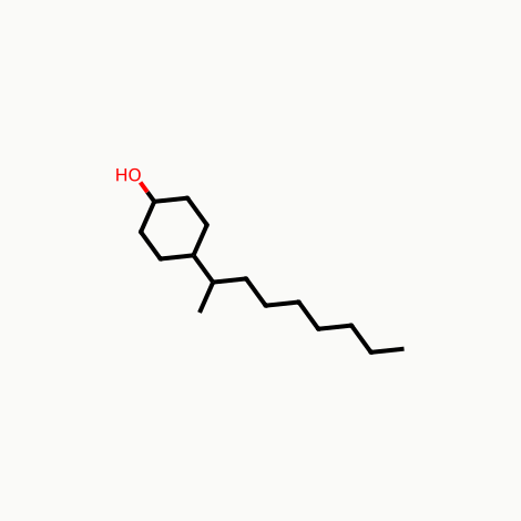 CCCCCCCC(C)C1CCC(O)CC1